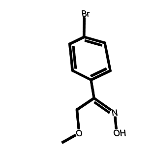 COCC(=NO)c1ccc(Br)cc1